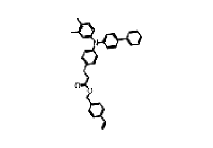 C=Cc1ccc(COC(=O)CCc2ccc(N(c3ccc(-c4ccccc4)cc3)c3ccc(C)c(C)c3)cc2)cc1